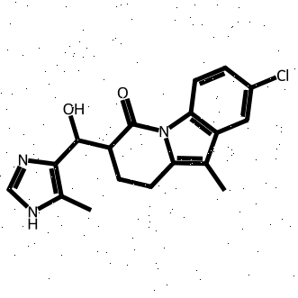 Cc1[nH]cnc1C(O)C1CCc2c(C)c3cc(Cl)ccc3n2C1=O